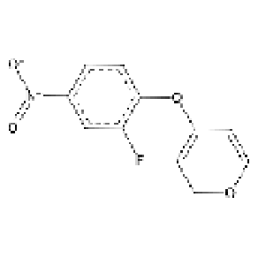 O=[N+]([O-])c1ccc(OC2=CCOC=C2)c(F)c1